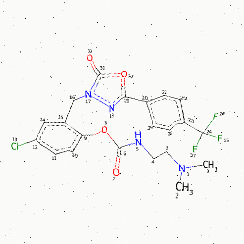 CN(C)CCNC(=O)Oc1ccc(Cl)cc1Cn1nc(-c2ccc(C(F)(F)F)cc2)oc1=O